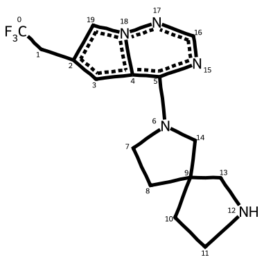 FC(F)(F)Cc1cc2c(N3CCC4(CCNC4)C3)ncnn2c1